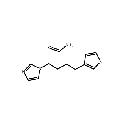 NC=O.c1cn(CCCCc2ccsc2)cn1